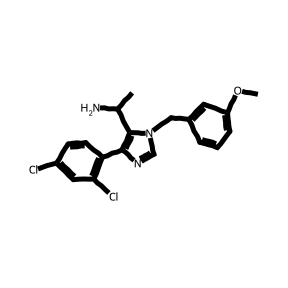 COc1cccc(Cn2cnc(-c3ccc(Cl)cc3Cl)c2C(C)N)c1